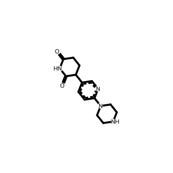 O=C1CCC(c2ccc(N3CCNCC3)nc2)C(=O)N1